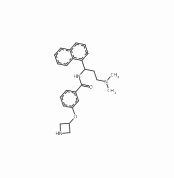 CN(C)CCC(NC(=O)c1cccc(OC2CNC2)c1)c1cccc2ccccc12